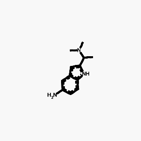 CC(c1cc2cc(N)ccc2[nH]1)N(C)C